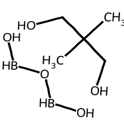 CC(C)(CO)CO.OBOBO